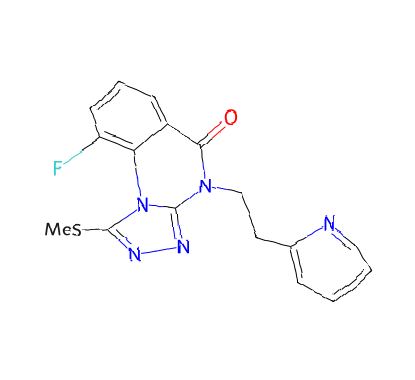 CSc1nnc2n(CCc3ccccn3)c(=O)c3cccc(F)c3n12